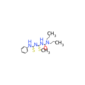 CCCN(CCC)C(=O)NC(=NC(=S)Nc1ccccc1)SC